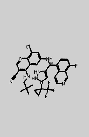 CC(C)(C)CNc1c(C#N)cnc2c(Cl)cc(N[C@H](C3=CN(C4(C(F)(F)F)CC4)NN3)c3ccc(F)c4cnccc34)cc12